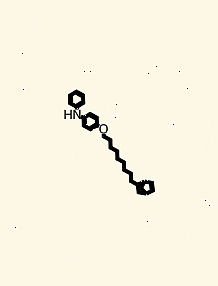 C1=CC2CC1CC2CCCCCCCCCOc1ccc(Nc2ccccc2)cc1